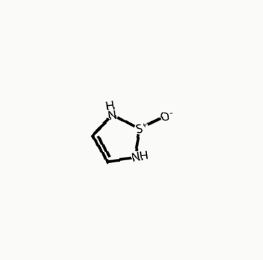 [O-][S+]1NC=CN1